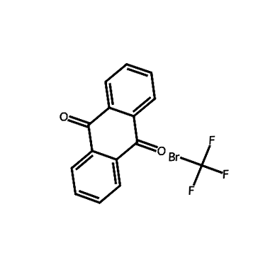 FC(F)(F)Br.O=C1c2ccccc2C(=O)c2ccccc21